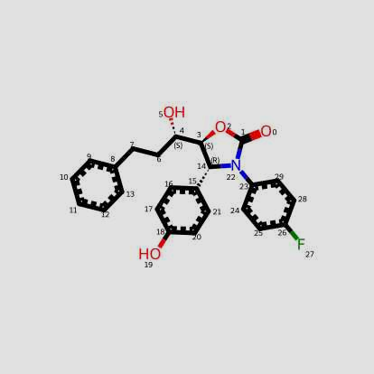 O=C1O[C@H]([C@@H](O)CCc2ccccc2)[C@@H](c2ccc(O)cc2)N1c1ccc(F)cc1